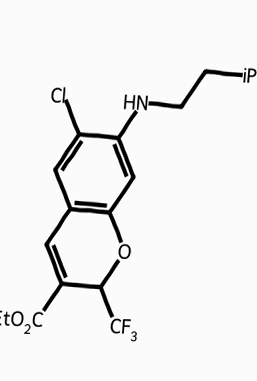 CCOC(=O)C1=Cc2cc(Cl)c(NCCC(C)C)cc2OC1C(F)(F)F